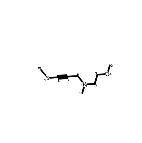 COCCN(C)CC#CSC